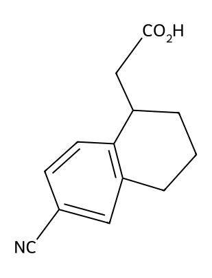 N#Cc1ccc2c(c1)CCCC2CC(=O)O